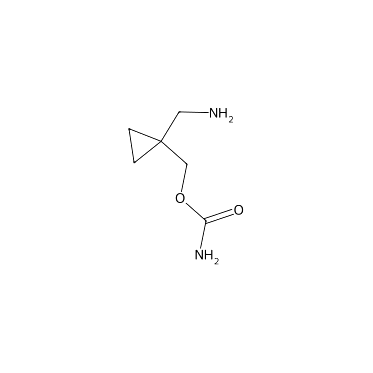 NCC1(COC(N)=O)CC1